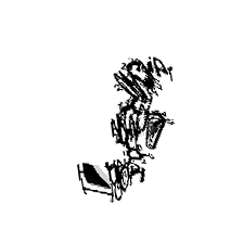 Cc1cc(C(=O)NC(O)(O)O)cc(-c2cnn3cc(-c4cnn(C5CCN(C(C)C)CC5)n4)c(NC4CCOC4)nc23)c1F